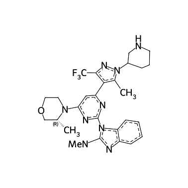 CNc1nc2ccccc2n1-c1nc(-c2c(C(F)(F)F)nn(C3CCCNC3)c2C)cc(N2CCOC[C@H]2C)n1